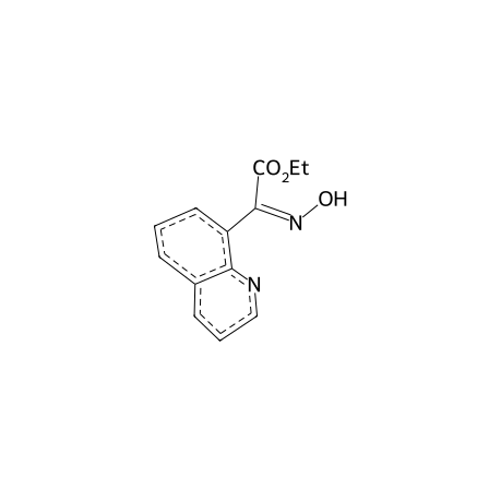 CCOC(=O)C(=NO)c1cccc2cccnc12